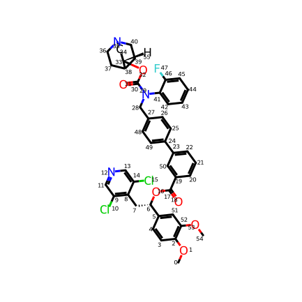 COc1ccc([C@H](Cc2c(Cl)cncc2Cl)OC(=O)c2cccc(-c3ccc(CN(C(=O)O[C@H]4CN5CCC4CC5)c4ccccc4F)cc3)c2)cc1OC